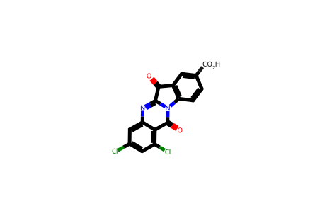 O=C(O)c1ccc2c(c1)C(=O)c1nc3cc(Cl)cc(Cl)c3c(=O)n1-2